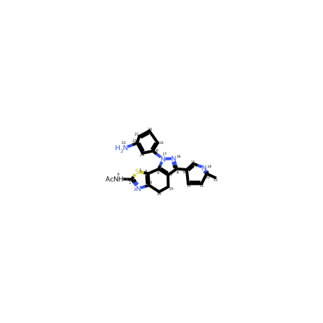 CC(=O)Nc1nc2c(s1)-c1c(c(-c3ccc(C)nc3)nn1-c1cccc(N)c1)CC2